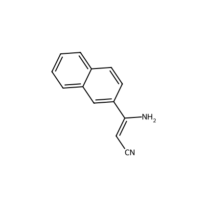 N#CC=C(N)c1ccc2ccccc2c1